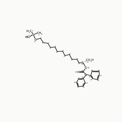 CC(C)(C)[Si](C)(C)OCCCCCCCCCCCC[C@@H](OC(=O)C(c1ccccc1)c1ccccc1)C(=O)O